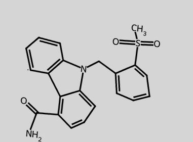 CS(=O)(=O)c1ccccc1Cn1c2ccc[c]c2c2c(C(N)=O)cccc21